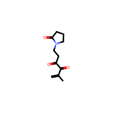 C=C(C)C(=O)C(=O)CCN1CCCC1=O